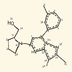 Cc1cccc(-c2cc(N3CCCC3CO)nc3c(I)c(C)nn23)c1